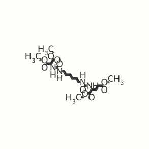 CCOC(=O)CCC(NC(=O)NCCCCCCNC(=O)NC(C(=O)OCC)C(=O)OCC)C(=O)OCC